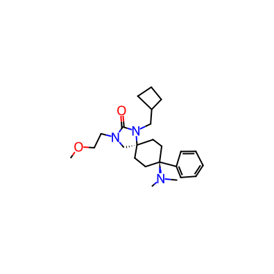 COCCN1C[C@]2(CC[C@](c3ccccc3)(N(C)C)CC2)N(CC2CCC2)C1=O